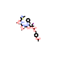 COC[C@H](NC(=O)c1cnc(C)s1)C(=O)N[C@@H](COC)C(=O)N[C@@H](Cc1ccccc1)C(=O)C(C)(CI)OC(=O)OCc1ccc(OC(C)=O)cc1